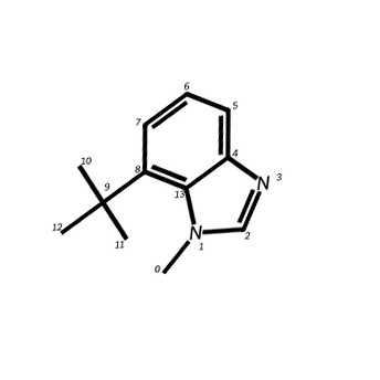 Cn1cnc2cccc(C(C)(C)C)c21